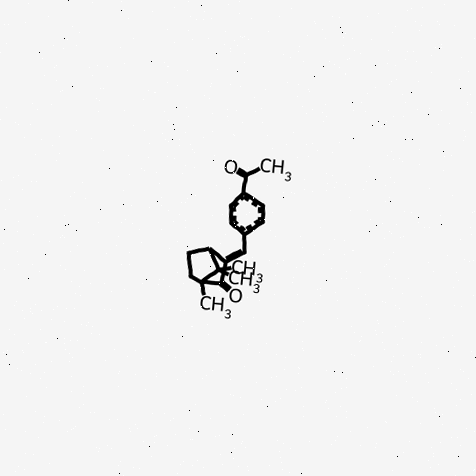 CC(=O)c1ccc(C=C2C(=O)C3(C)CCC2C3(C)C)cc1